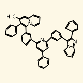 CC1=C=C2C=CC=CN2C(c2cccc(-c3cc(-c4ccccc4)cc(-c4cccc(-c5c(-c6ccccc6)nc6ccccn56)c4)n3)c2)=C1c1ccccc1